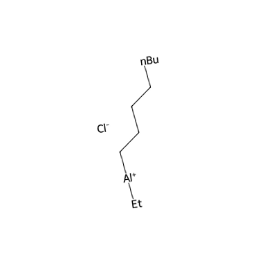 CCCCCCC[CH2][Al+][CH2]C.[Cl-]